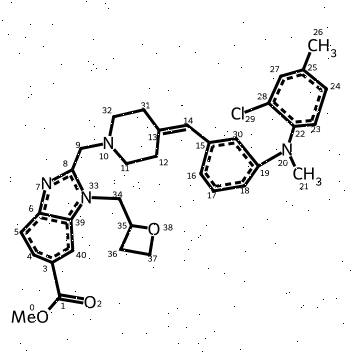 COC(=O)c1ccc2nc(CN3CCC(=Cc4cccc(N(C)c5ccc(C)cc5Cl)c4)CC3)n(CC3CCO3)c2c1